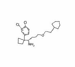 NC(CCCOCCC1CCCCC1)C1(c2ccc(Cl)c(Cl)c2)CCC1